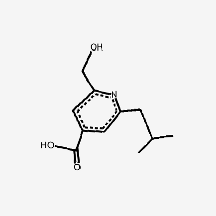 CC(C)Cc1cc(C(=O)O)cc(CO)n1